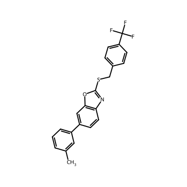 Cc1cccc(-c2ccc3nc(SCc4ccc(C(F)(F)F)cc4)oc3c2)c1